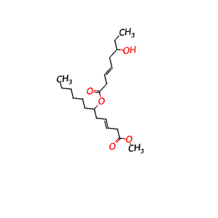 CCCCCCC(C/C=C/CC(=O)OC)OC(=O)C/C=C/CC(O)CC